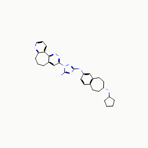 Nc1nc(Nc2ccc3c(c2)CC[C@@H](NC2CCCC2)CC3)nn1-c1cc2c(nn1)-c1cccnc1CCC2